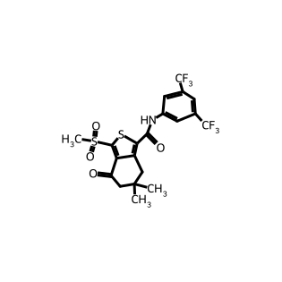 CC1(C)CC(=O)c2c(S(C)(=O)=O)sc(C(=O)Nc3cc(C(F)(F)F)cc(C(F)(F)F)c3)c2C1